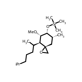 CO[C@@H]1[C@H](O[Si](C)(C)C)[C@H](C)C[C@]2(CO2)[C@H]1C(C)CCCC(C)C